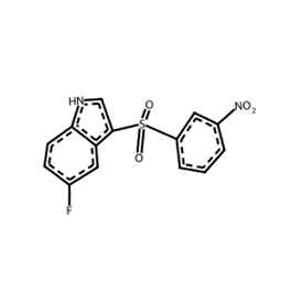 O=[N+]([O-])c1cccc(S(=O)(=O)c2c[nH]c3ccc(F)cc23)c1